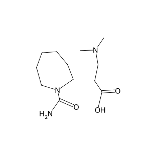 CN(C)CCC(=O)O.NC(=O)N1CCCCCC1